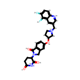 O=C1CCC(N2Cc3cc(OC4CCN(Cc5cnc6ccc(F)c(F)c6c5)C4)ccc3C2=O)C(=O)N1